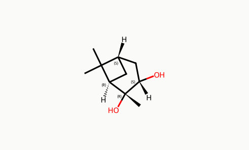 CC1(C)[C@H]2C[C@H]1[C@@](C)(O)[C@@H](O)C2